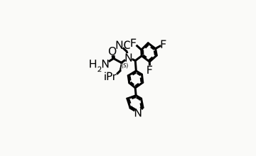 CC(C)C[C@@H](C(N)=O)N(CC#N)C(c1ccc(-c2ccncc2)cc1)c1c(F)cc(F)cc1F